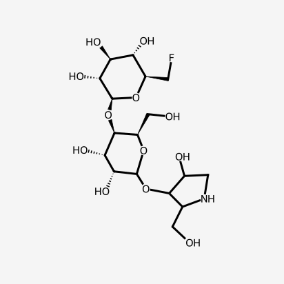 OCC1NCC(O)C1OC1O[C@H](CO)[C@H](O[C@@H]2O[C@H](CF)[C@@H](O)[C@H](O)[C@H]2O)[C@@H](O)[C@H]1O